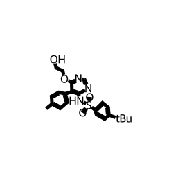 Cc1ccc(-c2c(NS(=O)(=O)c3ccc(C(C)(C)C)cc3)ncnc2OCCO)cc1